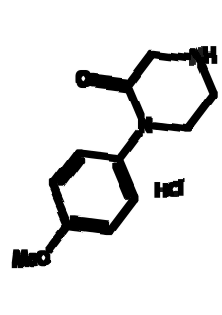 COc1ccc(N2CCNCC2=O)cc1.Cl